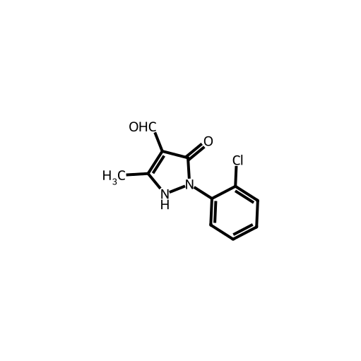 Cc1[nH]n(-c2ccccc2Cl)c(=O)c1C=O